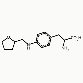 NC(Cc1ccc(NCC2CCCO2)cc1)C(=O)O